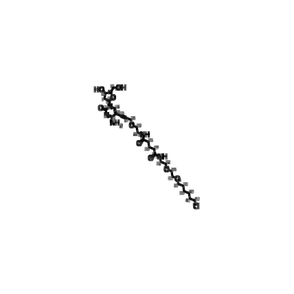 Nc1nc(=O)n([C@H]2CC(O)[C@@H](CO)O2)cc1C#CCOCCNC(=O)CCCC(=O)NCCOCCOCCCCCCCl